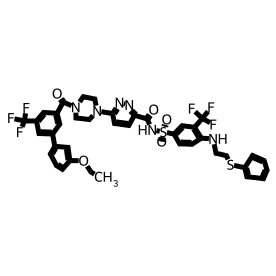 CCOc1cccc(-c2cc(C(=O)N3CCN(c4ccc(C(=O)NS(=O)(=O)c5ccc(NCCSc6ccccc6)c(C(F)(F)F)c5)nn4)CC3)cc(C(F)(F)F)c2)c1